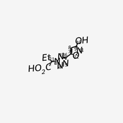 CCC(C(=O)O)n1nnc(-c2cc(O)no2)n1